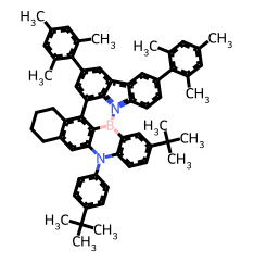 Cc1cc(C)c(-c2ccc3c(c2)c2cc(-c4c(C)cc(C)cc4C)cc4c2n3B2c3cc(C(C)(C)C)ccc3N(c3ccc(C(C)(C)C)cc3)c3cc5c(c-4c32)CCCC5)c(C)c1